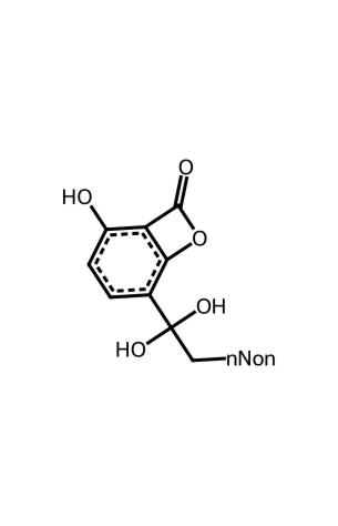 CCCCCCCCCCC(O)(O)c1ccc(O)c2c1OC2=O